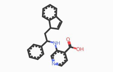 O=C(O)c1ccncc1NC(CC1C=Cc2ccccc21)c1ccccc1